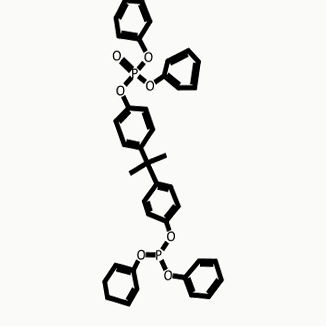 CC(C)(c1ccc(OP(OC2=CCCC=C2)Oc2ccccc2)cc1)c1ccc(OP(=O)(Oc2ccccc2)Oc2ccccc2)cc1